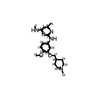 CNc1cc(C)nc(Nc2ccc(OC)c(OCC3CCN(C)CC3)c2)n1